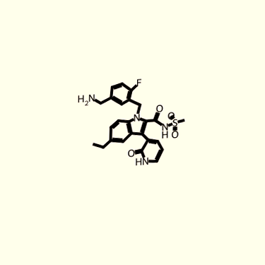 CCc1ccc2c(c1)c(-c1ccc[nH]c1=O)c(C(=O)NS(C)(=O)=O)n2Cc1cc(CN)ccc1F